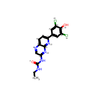 CCNC(=O)Nc1cnc2ccc(-c3cc(Cl)c(O)c(Cl)c3)nc2n1